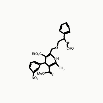 CCOC(=O)C1=C(CSCC(NC=O)c2ccccc2)NC(C)=C(C(=O)OC)C1c1cccc([N+](=O)[O-])c1